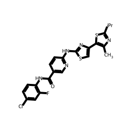 Cc1nc(C(C)C)sc1-c1csc(Nc2ccc(C(=O)Nc3ccc(Cl)cc3F)cn2)n1